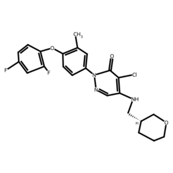 Cc1cc(-n2ncc(NC[C@H]3CCCOC3)c(Cl)c2=O)ccc1Oc1ccc(F)cc1F